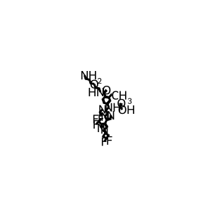 CCc1cc(Nc2nccn3c(-c4cn(C5CC(F)(F)C5)nc4C(F)(F)F)cnc23)ccc1C(=O)NCCOCCCN.O=CO